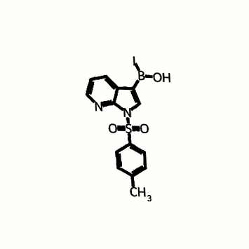 Cc1ccc(S(=O)(=O)n2cc(B(O)I)c3cccnc32)cc1